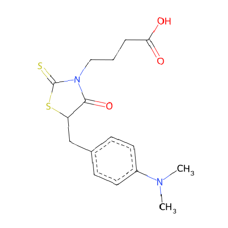 CN(C)c1ccc(CC2SC(=S)N(CCCC(=O)O)C2=O)cc1